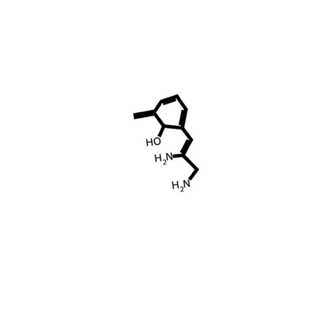 C=C1C=CC=C(C=C(N)CN)C1O